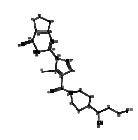 Cc1c(C(=O)N2CCC(C(C#N)CCF)CC2)cnn1-c1nc2c(c(=O)[nH]1)CCC2